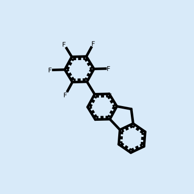 Fc1c(F)c(F)c(-c2[c]c3c(cc2)-c2ccccc2C3)c(F)c1F